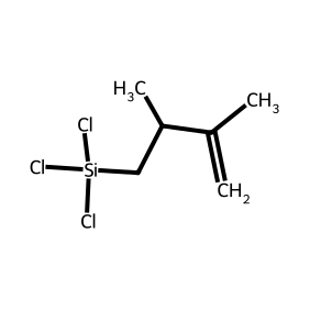 C=C(C)C(C)C[Si](Cl)(Cl)Cl